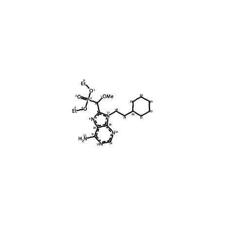 CCOP(=O)(OCC)C(OC)c1nc2c(N)ncnc2n1CCC1CCCCC1